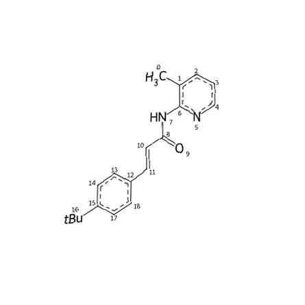 Cc1cccnc1NC(=O)/C=C/c1ccc(C(C)(C)C)cc1